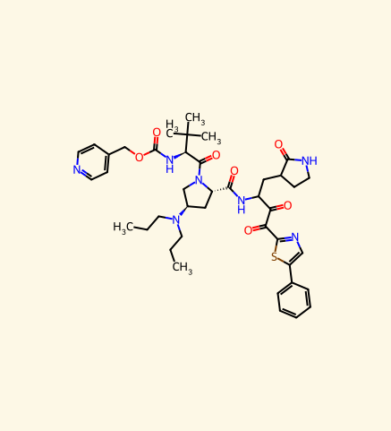 CCCN(CCC)[C@@H]1C[C@@H](C(=O)NC(CC2CCNC2=O)C(=O)C(=O)c2ncc(-c3ccccc3)s2)N(C(=O)[C@@H](NC(=O)OCc2ccncc2)C(C)(C)C)C1